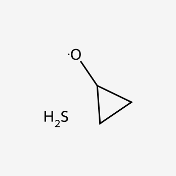 S.[O]C1CC1